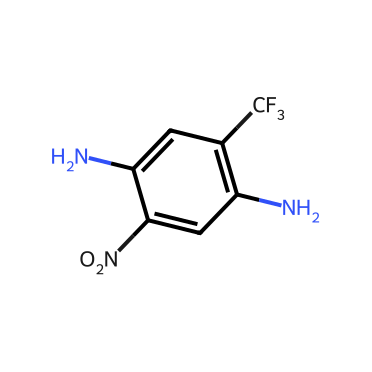 Nc1cc(C(F)(F)F)c(N)cc1[N+](=O)[O-]